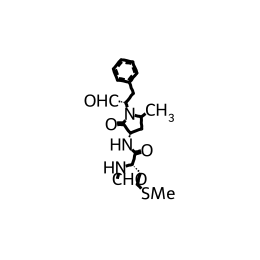 CSCC[C@H](NC=O)C(=O)N[C@H]1CC(C)N([C@H](C=O)Cc2ccccc2)C1=O